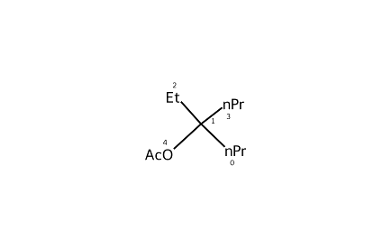 CCCC(CC)(CCC)OC(C)=O